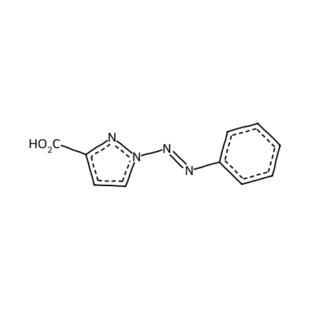 O=C(O)c1ccn(N=Nc2ccccc2)n1